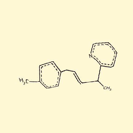 Cc1ccc(C=CC(C)c2ccccn2)cc1